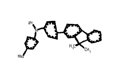 CC(C)N(c1ccc(-c2ccc3c(c2)C(C)(C)c2ccccc2-3)cc1)c1ccc(C(C)(C)C)cc1